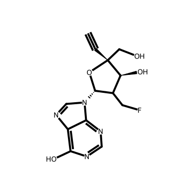 C#C[C@]1(CO)O[C@@H](n2cnc3c(O)ncnc32)C(CF)[C@@H]1O